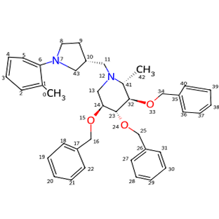 Cc1ccccc1N1CC[C@H](CN2C[C@H](OCc3ccccc3)[C@@H](OCc3ccccc3)[C@H](OCc3ccccc3)[C@H]2C)C1